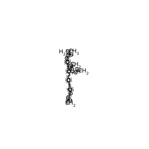 C=CC(=O)O/C=C/c1c(/C=C/c2ccc(C#Cc3ccc(OCCOC(=O)C=C)cc3)cc2)ccc(C#Cc2ccc(OCOC(=O)C(=C)C)cc2)c1OC(=O)C=C